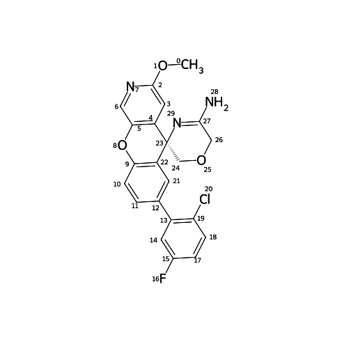 COc1cc2c(cn1)Oc1ccc(-c3cc(F)ccc3Cl)cc1[C@@]21COCC(N)=N1